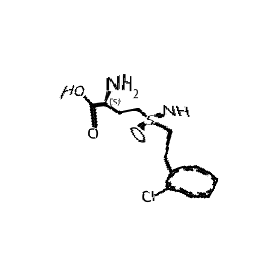 N=S(=O)(CCc1ccccc1Cl)CC[C@H](N)C(=O)O